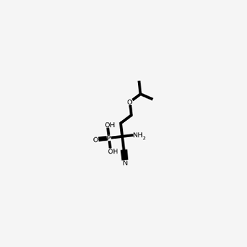 CC(C)OCCC(N)(C#N)P(=O)(O)O